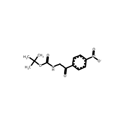 CC(C)(C)OC(=O)NCC(=O)c1ccc([N+](=O)[O-])cc1